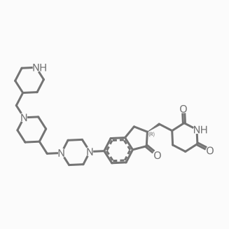 O=C1CCC(C[C@@H]2Cc3cc(N4CCN(CC5CCN(CC6CCNCC6)CC5)CC4)ccc3C2=O)C(=O)N1